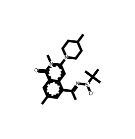 CC(=N[S+]([O-])C(C)(C)C)c1cc(C)cc2c(=O)n(C)c(N3CCC(C)CC3)cc12